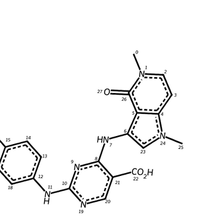 Cn1ccc2c(c(Nc3nc(Nc4ccc(F)cc4)ncc3C(=O)O)cn2C)c1=O